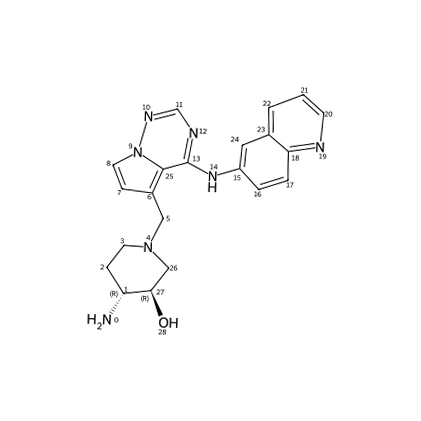 N[C@@H]1CCN(Cc2ccn3ncnc(Nc4ccc5ncccc5c4)c23)C[C@H]1O